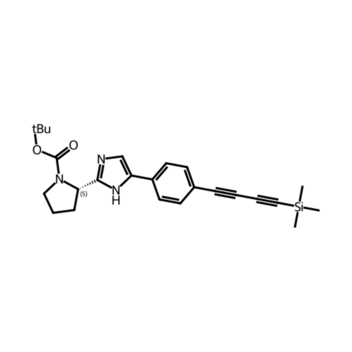 CC(C)(C)OC(=O)N1CCC[C@H]1c1ncc(-c2ccc(C#CC#C[Si](C)(C)C)cc2)[nH]1